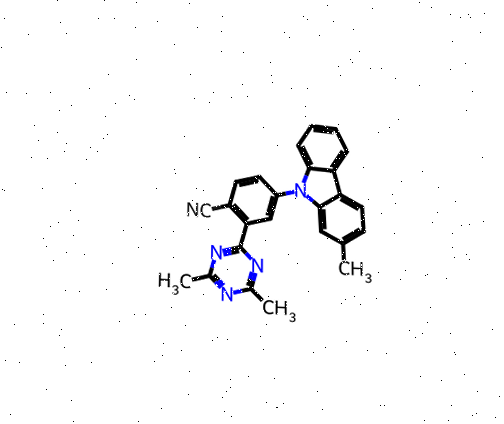 Cc1ccc2c3ccccc3n(-c3ccc(C#N)c(-c4nc(C)nc(C)n4)c3)c2c1